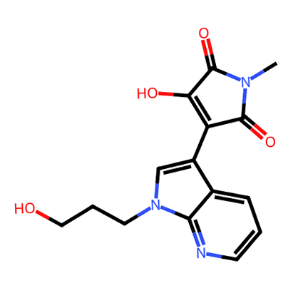 CN1C(=O)C(O)=C(c2cn(CCCO)c3ncccc23)C1=O